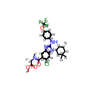 COC(=O)[C@H](C)N(C)C(=O)c1cc2nc(Nc3ccc(OC(F)(F)F)cc3)n([C@@H]3C[C@H](C)CC(C)(C)C3)c2cc1Cl